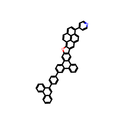 c1ccc2c(c1)cc(-c1ccc(-c3ccc4c(c3)c3ccccc3c3cc5c(cc43)oc3c5cc4ccc5c(-c6ccncc6)ccc6ccc3c4c65)cc1)c1ccccc12